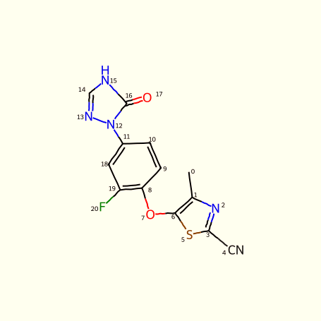 Cc1nc(C#N)sc1Oc1ccc(-n2nc[nH]c2=O)cc1F